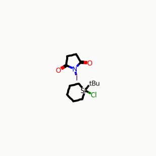 CC(C)(C)[Si]1(Cl)CCCCC1.O=C1CCC(=O)N1I